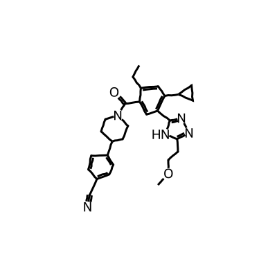 CCc1cc(C2CC2)c(-c2nnc(CCOC)[nH]2)cc1C(=O)N1CCC(c2ccc(C#N)cc2)CC1